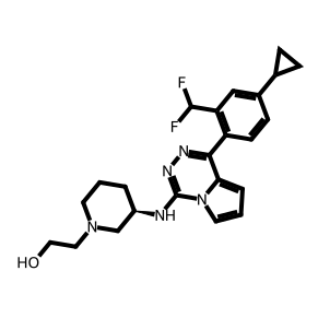 OCCN1CCC[C@@H](Nc2nnc(-c3ccc(C4CC4)cc3C(F)F)c3cccn23)C1